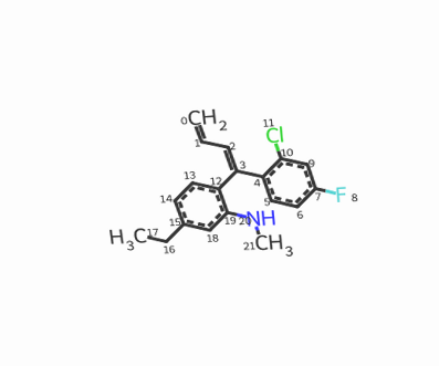 C=C/C=C(/c1ccc(F)cc1Cl)c1ccc(CC)cc1NC